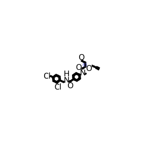 C#CCO/C(=C/C=O)C(=O)N(C)c1ccc(C(=O)NCc2ccc(Cl)cc2Cl)cc1